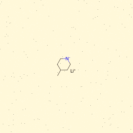 CC1CC[N-]CC1.[Li+]